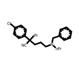 CCCN(CCCC(C#N)(c1ccc(Cl)cc1)C(C)C)Cc1ccccc1